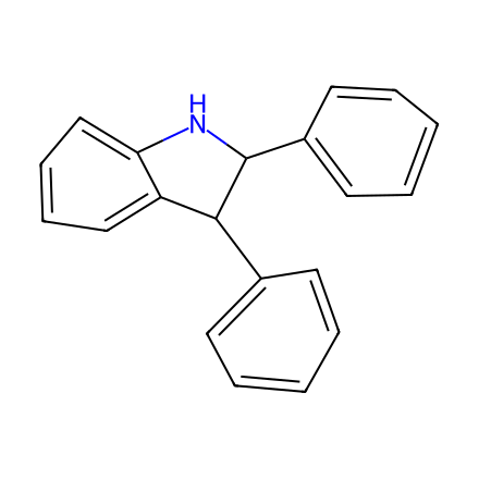 c1ccc(C2Nc3ccccc3C2c2ccccc2)cc1